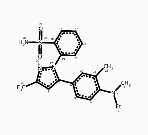 CCN(C)c1ccc(-c2cc(C(F)(F)F)nn2-c2ccccc2S(N)(=O)=O)cc1C